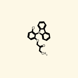 CCC(=O)COc1cccc(Cl)c1-n1c2ccccc2c2ccccc21